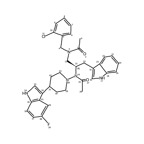 CC(=O)N(Cc1ccccc1Cl)C[C@@H](Cc1c[nH]c2ccccc12)N(C(C)=O)N1CCC(c2c[nH]c3ccc(F)cc23)CC1